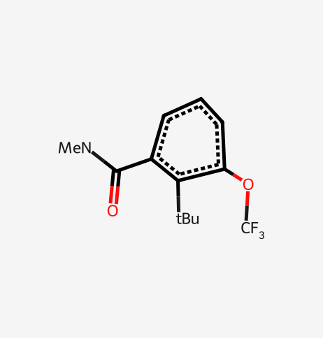 CNC(=O)c1cccc(OC(F)(F)F)c1C(C)(C)C